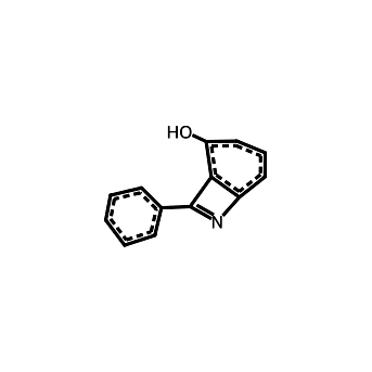 Oc1cccc2c1C(c1ccccc1)=N2